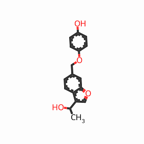 CC(O)c1coc2cc(COc3ccc(O)cc3)ccc12